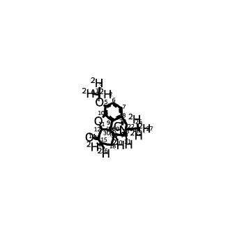 [2H]C([2H])([2H])Oc1ccc2c3c1OC1C(=O)C([2H])([2H])C[C@@]4([2H])[C@@H](C2)N(C([2H])([2H])[2H])CC[C@]314